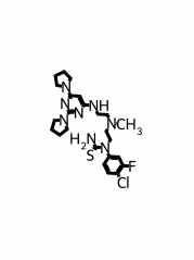 CN(CCNc1cc(N2CCCC2)nc(N2CCCC2)n1)CCN(C(N)=S)c1ccc(Cl)c(F)c1